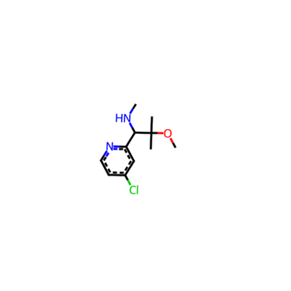 CNC(c1cc(Cl)ccn1)C(C)(C)OC